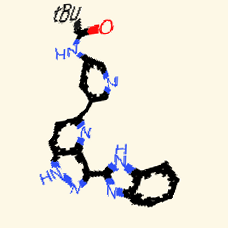 CC(C)(C)C(=O)Nc1cncc(-c2ccc3[nH]nc(-c4nc5ccccc5[nH]4)c3n2)c1